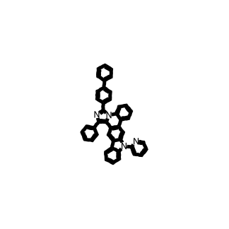 c1ccc(-c2ccc(-c3nc(-c4ccccc4)c4c5cc6c7ccccc7n(-c7ccccn7)c6cc5c5ccccc5n34)cc2)cc1